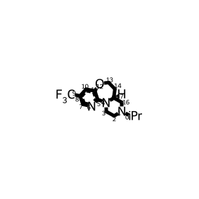 CC(C)N1CCN2c3ncc(C(F)(F)F)cc3OCC[C@H]2C1